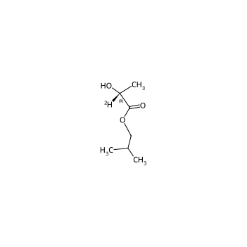 [2H][C@](C)(O)C(=O)OCC(C)C